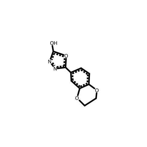 Oc1nnc(-c2ccc3c(c2)OCCO3)o1